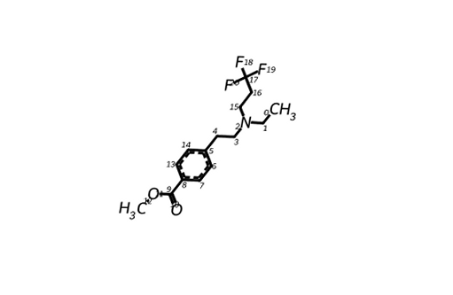 CCN(CCc1ccc(C(=O)OC)cc1)CCC(F)(F)F